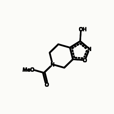 COC(=O)N1CCc2c(O)noc2C1